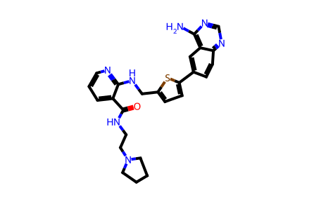 Nc1ncnc2ccc(-c3ccc(CNc4ncccc4C(=O)NCCN4CCCC4)s3)cc12